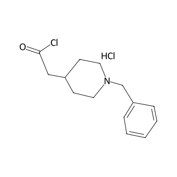 Cl.O=C(Cl)CC1CCN(Cc2ccccc2)CC1